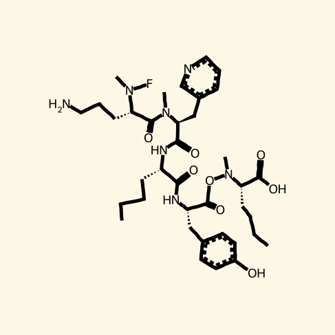 CCCC[C@H](NC(=O)[C@H](Cc1cccnc1)N(C)C(=O)[C@H](CCCN)N(C)F)C(=O)N[C@@H](Cc1ccc(O)cc1)C(=O)ON(C)[C@@H](CCCC)C(=O)O